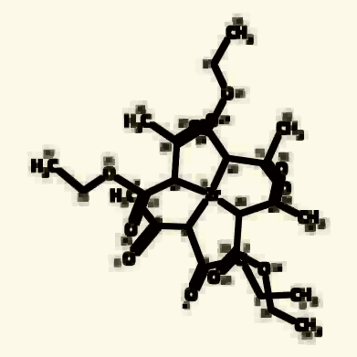 CCOC(=O)[CH](C(C)=O)[Zr]([CH](C(C)=O)C(=O)OCC)([CH](C(C)=O)C(=O)OCC)[CH](C(C)=O)C(=O)OCC